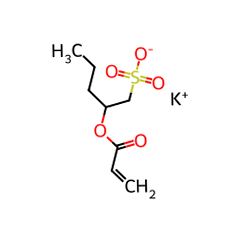 C=CC(=O)OC(CCC)CS(=O)(=O)[O-].[K+]